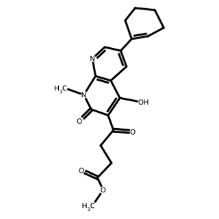 COC(=O)CCC(=O)c1c(O)c2cc(C3=CCCCC3)cnc2n(C)c1=O